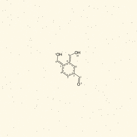 O=Cc1ccc(=CO)c(=CO)c1